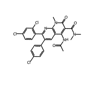 CC(=O)Nc1c(C(=O)N(C)C)c(=O)n(C)c2nc(-c3ccc(Cl)cc3Cl)c(-c3ccc(Cl)cc3)cc12